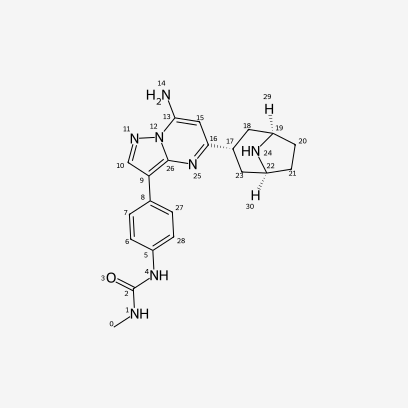 CNC(=O)Nc1ccc(-c2cnn3c(N)cc([C@@H]4C[C@H]5CC[C@@H](C4)N5)nc23)cc1